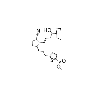 CCC1([C@H](O)C/C=C/C2[C@@H](CCCc3ccc(C(=O)OC)s3)CC[C@H]2C#N)CCC1